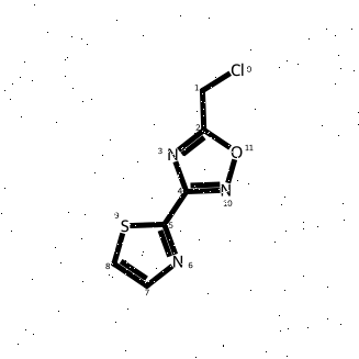 ClCc1nc(-c2nccs2)no1